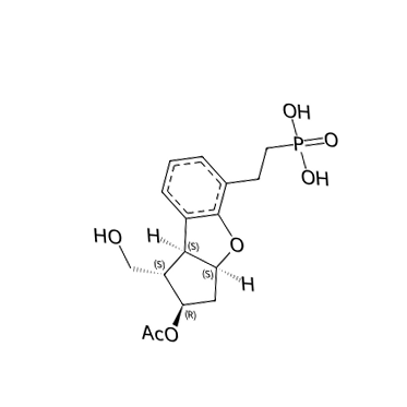 CC(=O)O[C@@H]1C[C@@H]2Oc3c(CCP(=O)(O)O)cccc3[C@@H]2[C@H]1CO